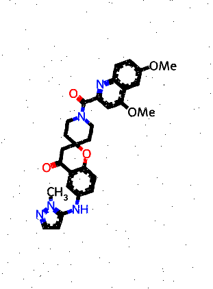 COc1ccc2nc(C(=O)N3CCC4(CC3)CC(=O)c3cc(Nc5ccnn5C)ccc3O4)cc(OC)c2c1